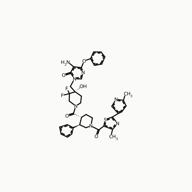 Cc1ccc(-c2nc(C)c(C(=O)N3CC[C@@H](C(=O)N4CC[C@](O)(Cn5cnc(Oc6ccccc6)c(N)c5=O)C(F)(F)C4)[C@H](c4ccccc4)C3)s2)cn1